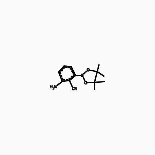 CC1(C)OB(c2cccc(N)c2C#N)OC1(C)C